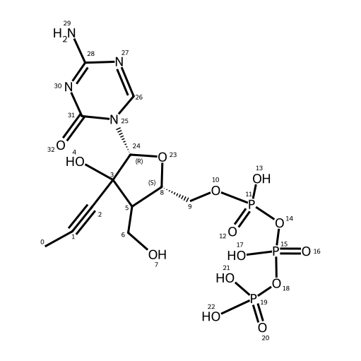 CC#CC1(O)C(CO)[C@@H](COP(=O)(O)OP(=O)(O)OP(=O)(O)O)O[C@H]1n1cnc(N)nc1=O